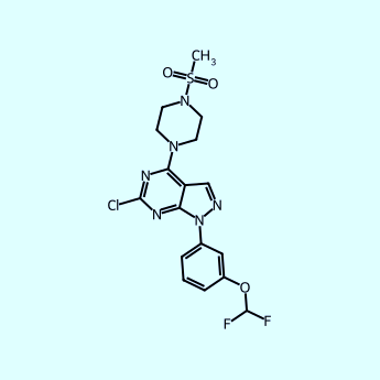 CS(=O)(=O)N1CCN(c2nc(Cl)nc3c2cnn3-c2cccc(OC(F)F)c2)CC1